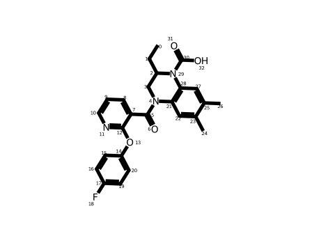 CCC1CN(C(=O)c2cccnc2Oc2ccc(F)cc2)c2cc(C)c(C)cc2N1C(=O)O